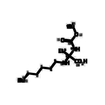 CC[C@H](C)CCCCCNC(CC)(NC(=O)OC(C)(C)C)C(=O)O